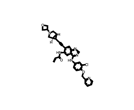 C=CC(=O)Nc1cc2c(Nc3ccc(OCc4ccccn4)c(Cl)c3)ncnc2cc1C#CC1[C@H]2CN(C3COC3)C[C@@H]12